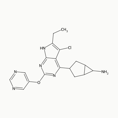 CCc1[nH]c2nc(Oc3cncnc3)nc(C3CC4C(N)C4C3)c2c1Cl